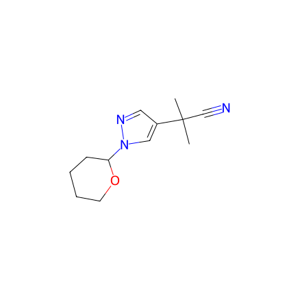 CC(C)(C#N)c1cnn(C2CCCCO2)c1